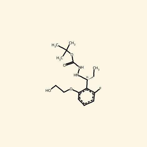 CC[C@@H](NNC(=O)OC(C)(C)C)c1c(F)cccc1OCCO